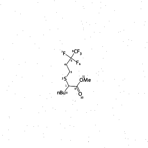 CCCCC(SCCC(F)(F)C(F)(F)F)C(=O)OC